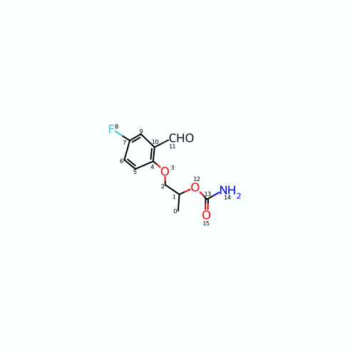 CC(COc1ccc(F)cc1C=O)OC(N)=O